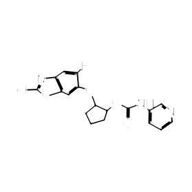 O=C(Nc1cccnc1)OC1CCCC1Oc1cc2sc(Cl)nc2cc1F